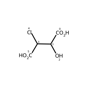 O=C(O)C(O)C(Cl)C(=O)O